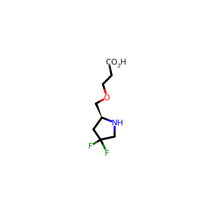 O=C(O)CCOC[C@@H]1CC(F)(F)CN1